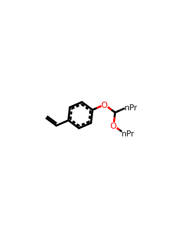 C=Cc1ccc(OC(CCC)OCCC)cc1